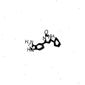 Nc1n[nH]c2ccc(-c3cc(-c4ccccc4)[nH]c(=O)n3)cc12